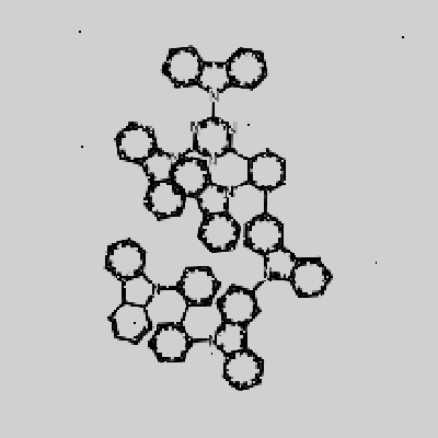 C1=CC2c3ccccc3N(c3ccccc3-c3ccccc3-n3c4ccccc4c4cc(-n5c6ccccc6c6cc(-c7cccc(-c8nc(-n9c%10ccccc%10c%10ccccc%109)nc(-n9c%10ccccc%10c%10ccccc%109)n8)c7-n7c8ccccc8c8ccccc87)ccc65)ccc43)C2C=C1